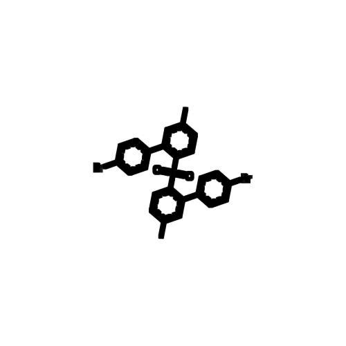 Cc1ccc(S(=O)(=O)c2ccc(C)cc2-c2ccc(Br)cc2)c(-c2ccc(Br)cc2)c1